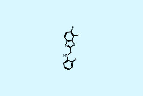 Fc1ccccc1NCc1nc2ccc(F)c(F)c2s1